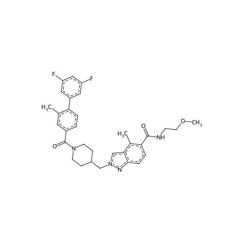 COCCNC(=O)c1ccc2nn(CC3CCN(C(=O)c4ccc(-c5cc(F)cc(F)c5)c(C)c4)CC3)cc2c1C